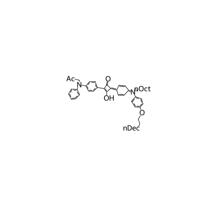 CCCCCCCCCCCCOc1ccc([N+](CCCCCCCC)=C2C=CC(=C3C(=O)C(c4ccc(N(CC(C)=O)c5ccccc5)cc4)=C3O)C=C2)cc1